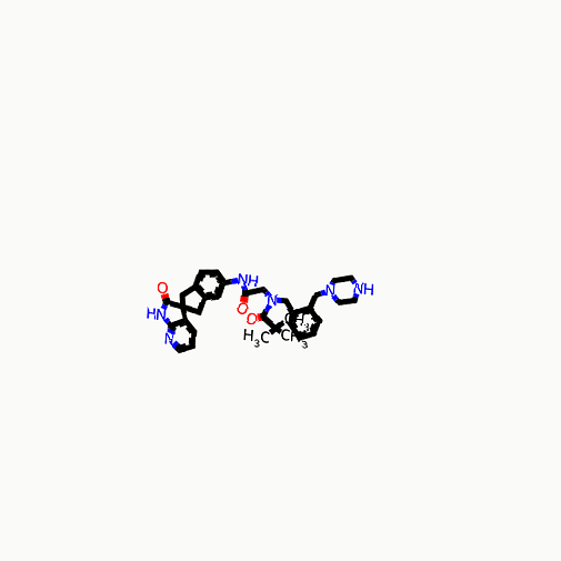 CC(C)(C)C(=O)N(CC(=O)Nc1ccc2c(c1)CC1(C2)C(=O)Nc2ncccc21)Cc1ccccc1CN1CCNCC1